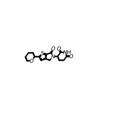 O=C1CCC(N2Cc3cc(C4CCCCO4)sc3C2=O)C(=O)N1